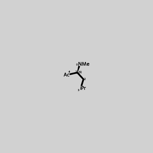 CN[C@@H](CC(C)C)C(C)=O